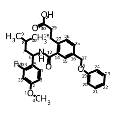 COc1ccc(C(CC(C)C)NC(=O)c2cc(COc3ccccc3)ccc2CCC(=O)O)c(F)c1